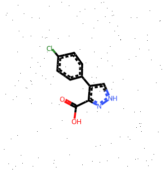 O=C(O)c1n[nH]cc1-c1ccc(Cl)cc1